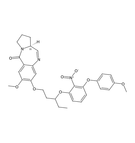 CCC(CCOc1cc2c(cc1OC)C(=O)N1CCC[C@H]1C=N2)Oc1cccc(Oc2ccc(OC)cc2)c1[N+](=O)[O-]